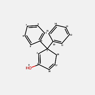 OC1=CC(c2ccccc2)(c2ccccc2)CC=C1